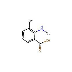 CCNc1c(C(=S)S)cccc1C(C)C